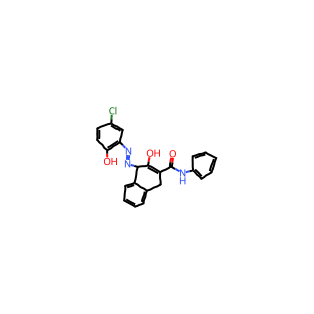 O=C(Nc1ccccc1)C1=C(O)C(N=Nc2cc(Cl)ccc2O)c2ccccc2C1